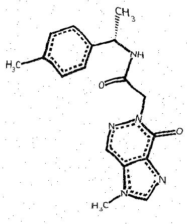 Cc1ccc([C@H](C)NC(=O)Cn2ncc3c(ncn3C)c2=O)cc1